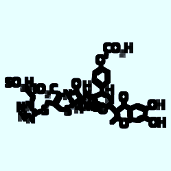 CO[C@@]1(NC(=O)C(NC(=O)c2c(C)oc3cc(O)c(O)cc3c2=O)c2ccc(OCC(=O)O)cc2)C(=O)N2C(C(=O)O)=C(CSc3nnnn3CCS(=O)(=O)O)CS[C@H]21